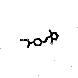 Cc1cccc(Cl)c1/C=C/C1CCN(C(=O)OC(C)(C)C)CC1